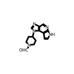 O=CN1CCC(n2cnc3cnc4[nH]ccc4c32)CC1